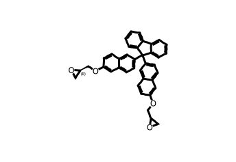 c1ccc2c(c1)-c1ccccc1C2(c1ccc2cc(OCC3CO3)ccc2c1)c1ccc2cc(OC[C@H]3CO3)ccc2c1